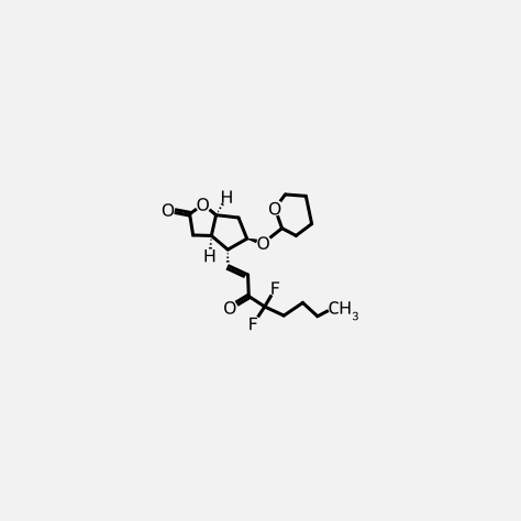 CCCCC(F)(F)C(=O)/C=C/[C@@H]1[C@H]2CC(=O)O[C@H]2C[C@H]1OC1CCCCO1